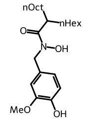 CCCCCCCCC(CCCCCC)C(=O)N(O)Cc1ccc(O)c(OC)c1